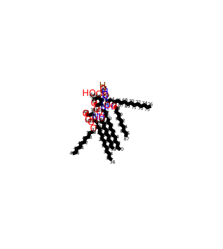 CCCCCCCCCCC[C@H](CC(=O)N[C@H]1[C@H](OC[C@H](NC(=O)C[C@@H](CCCCCCCCCCC)OCCCCCCCCCC)C(=O)O)O[C@H](CO)[C@@H](O[SH](=O)=O)[C@H]1NC(=O)C[C@@H](CCCCCCCCCCC)OCCCCCCCCCC)OCCCCCCCCCC